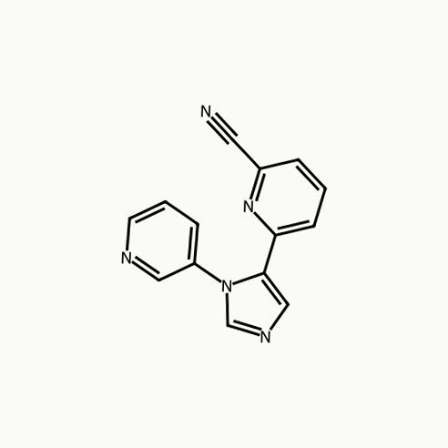 N#Cc1cccc(-c2cncn2-c2cccnc2)n1